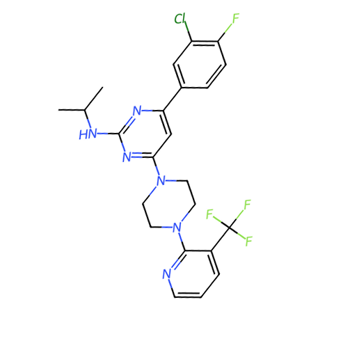 CC(C)Nc1nc(-c2ccc(F)c(Cl)c2)cc(N2CCN(c3ncccc3C(F)(F)F)CC2)n1